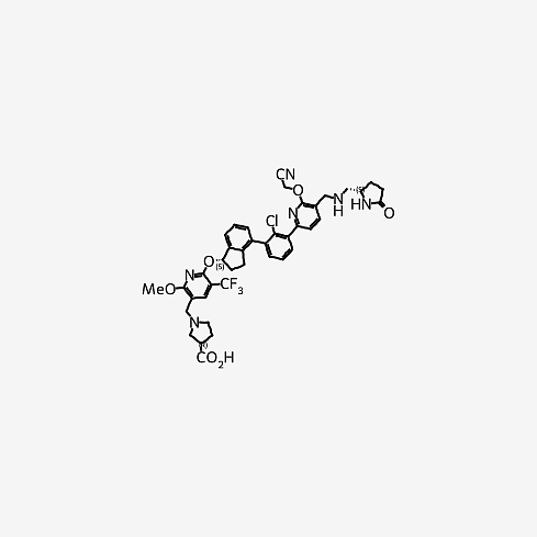 COc1nc(O[C@H]2CCc3c(-c4cccc(-c5ccc(CNC[C@@H]6CCC(=O)N6)c(OCC#N)n5)c4Cl)cccc32)c(C(F)(F)F)cc1CN1CC[C@@H](C(=O)O)C1